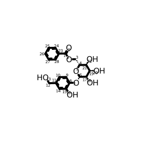 O=C(OC[C@H]1O[C@@H](Oc2ccc(CO)cc2O)[C@H](O)[C@H](O)[C@@H]1O)c1ccccc1